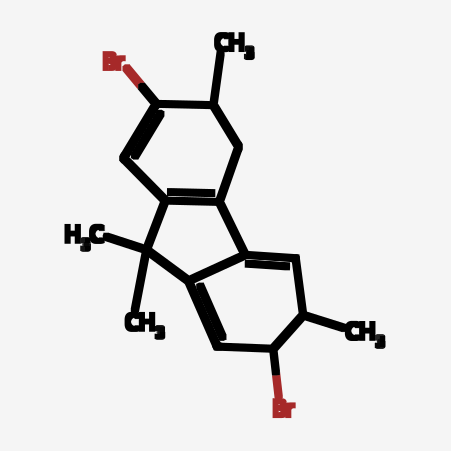 CC1CC2=C(C=C1Br)C(C)(C)C1=CC(Br)C(C)C=C12